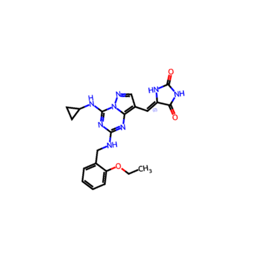 CCOc1ccccc1CNc1nc(NC2CC2)n2ncc(/C=C3\NC(=O)NC3=O)c2n1